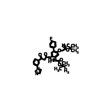 CC(C)(C)OC(=O)COc1cc(NC(=O)OC(C)(C)C)c(NC(=O)CC(=O)c2cccc(-n3ccnc3)c2)cc1-c1ccc(F)cc1